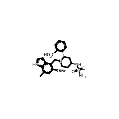 COc1cc(C)c2[nH]ccc2c1CN1CC[C@H](NS(N)(=O)=O)C[C@H]1c1ccccc1C(=O)O